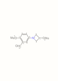 COc1ccc(N2CC(OC)C2)cc1C=O